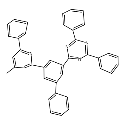 Cc1cc(-c2ccccc2)nc(-c2cc(-c3ccccc3)cc(-c3nc(-c4ccccc4)nc(-c4ccccc4)n3)c2)c1